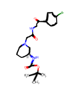 CC(C)(C)OC(=O)N[C@H]1CCCN(CC(=O)NCC(=O)c2ccc(Br)cc2)C1